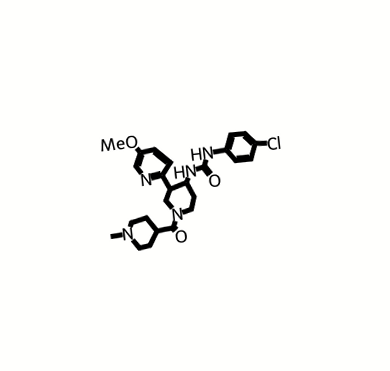 COc1ccc(C2CN(C(=O)C3CCN(C)CC3)CCC2NC(=O)Nc2ccc(Cl)cc2)nc1